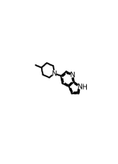 CC1CCN(c2cnc3[nH]ccc3c2)CC1